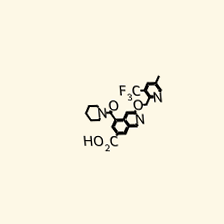 Cc1cnc(COc2cc3c(C(=O)N4CCCCC4)cc(C(=O)O)cc3cn2)c(C(F)(F)F)c1